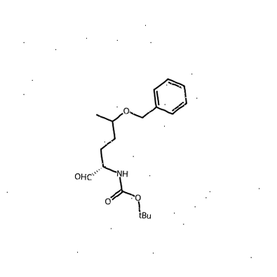 CC(CC[C@@H](C=O)NC(=O)OC(C)(C)C)OCc1ccccc1